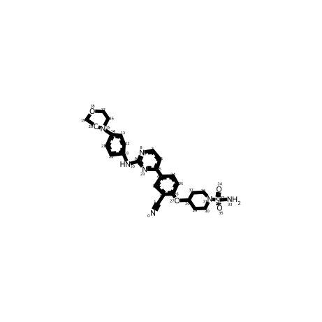 N#Cc1cc(-c2ccnc(Nc3ccc(N4CCOCC4)cc3)n2)ccc1OC1CCN(S(N)(=O)=O)CC1